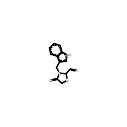 O=C1CSC(C=S)N1Cc1c[nH]c2ccccc12